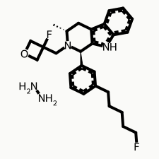 C[C@@H]1Cc2c([nH]c3ccccc23)[C@@H](c2cccc(CCCCCF)c2)N1CC1(F)COC1.NN